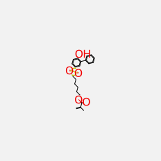 C=C(C)C(=O)OCCCCCCS(=O)(=O)c1ccc(O)c(-c2ccccc2)c1